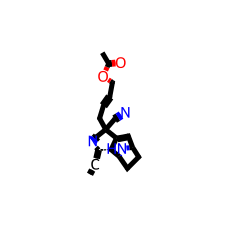 C=C=C(C)[C@@H]1C(C(C#N)(C#N)CC#CCOC(C)=O)=CC2CCC1N2